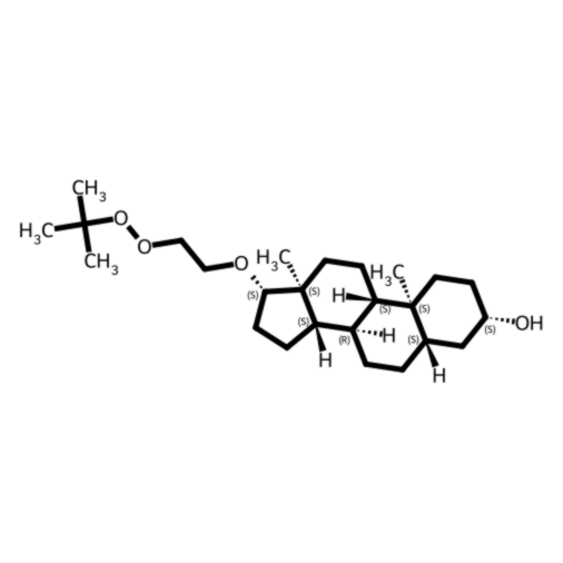 CC(C)(C)OOCCO[C@H]1CC[C@H]2[C@@H]3CC[C@H]4C[C@@H](O)CC[C@]4(C)[C@H]3CC[C@]12C